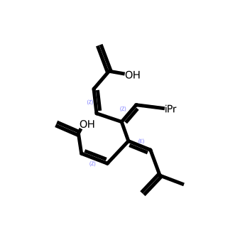 C=C(O)\C=C/C(=C/C(C)C)C(/C=C\C(=C)O)=C/C(=C)C